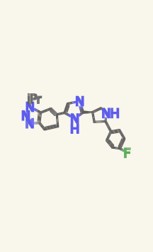 CC(C)n1nnc2ccc(-c3cnc([C@H]4CNC(c5ccc(F)cc5)C4)[nH]3)cc21